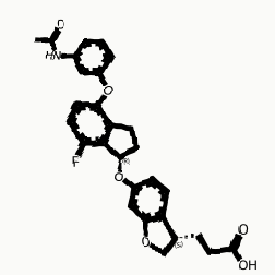 CC(=O)Nc1cccc(Oc2ccc(F)c3c2CC[C@H]3Oc2ccc3c(c2)OC[C@H]3CCC(=O)O)c1